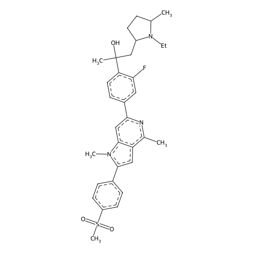 CCN1C(C)CCC1CC(C)(O)c1ccc(-c2cc3c(cc(-c4ccc(S(C)(=O)=O)cc4)n3C)c(C)n2)cc1F